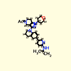 C=C(C)Nc1ccc(C2C=CC3=C(CCCN3c3nn(C4CCOCC4)c4c3CN(C(C)=O)CC4)C2)cn1